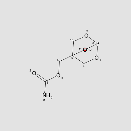 NC(=O)OCC12COP(OC1)OC2